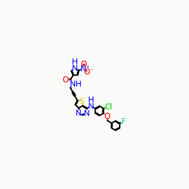 O=C(NCC#Cc1cc2ncnc(Nc3ccc(OCc4cccc(F)c4)c(Cl)c3)c2s1)c1c[nH]c([N+](=O)[O-])c1